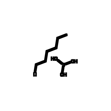 OB(O)O.[Li][CH2]CCCCC